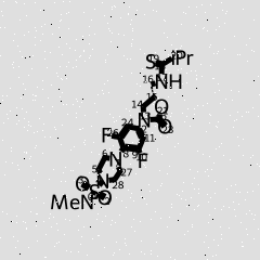 CNS(=O)(=O)N1CCN(c2c(F)cc(N3C[C@H](CNC(=S)C(C)C)OC3=O)cc2F)CC1